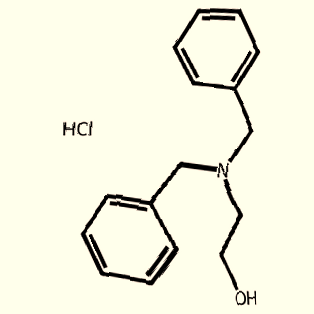 Cl.OCCN(Cc1ccccc1)Cc1ccccc1